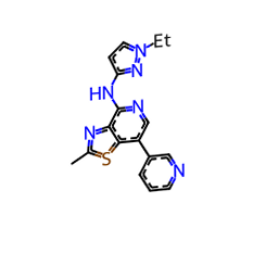 CCn1ccc(Nc2ncc(-c3cccnc3)c3sc(C)nc23)n1